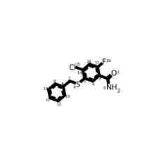 NC(=O)c1cc(SCc2ccccc2)c(Cl)cc1F